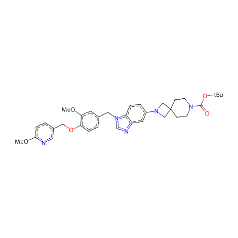 COc1ccc(COc2ccc(Cn3cnc4cc(N5CC6(CCN(C(=O)OC(C)(C)C)CC6)C5)ccc43)cc2OC)cn1